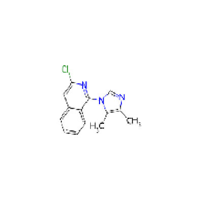 Cc1ncn(-c2nc(Cl)cc3ccccc23)c1C